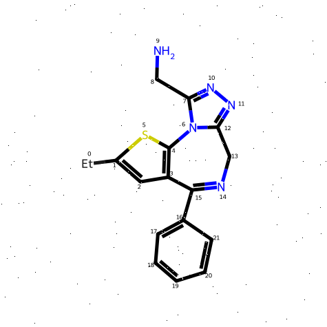 CCc1cc2c(s1)-n1c(CN)nnc1CN=C2c1ccccc1